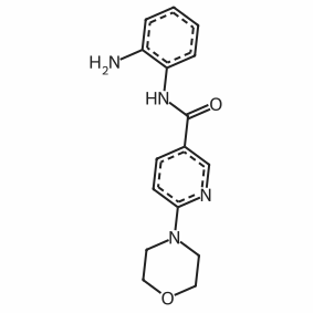 Nc1ccccc1NC(=O)c1ccc(N2CCOCC2)nc1